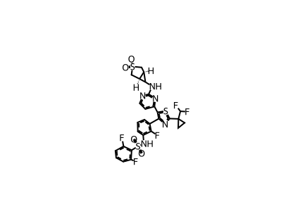 O=S1(=O)C[C@@H]2C(Nc3nccc(-c4sc(C5(C(F)F)CC5)nc4-c4cccc(NS(=O)(=O)c5c(F)cccc5F)c4F)n3)[C@@H]2C1